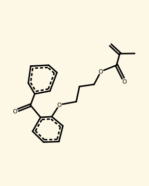 C=C(C)C(=O)OCCCOc1ccccc1C(=O)c1ccccc1